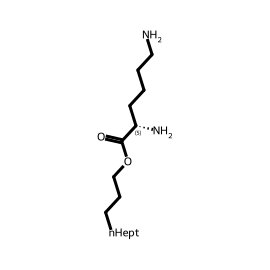 CCCCCCCCCCOC(=O)[C@@H](N)CCCCN